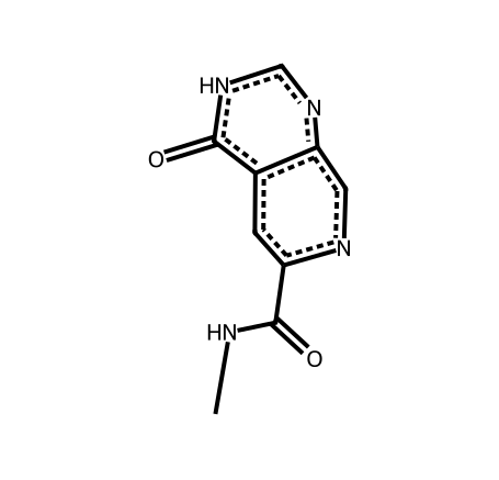 CNC(=O)c1cc2c(=O)[nH]cnc2cn1